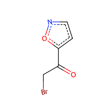 O=C(CBr)c1ccno1